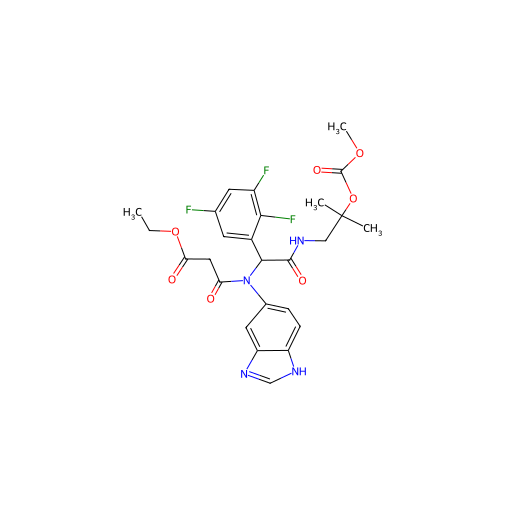 CCOC(=O)CC(=O)N(c1ccc2[nH]cnc2c1)C(C(=O)NCC(C)(C)OC(=O)OC)c1cc(F)cc(F)c1F